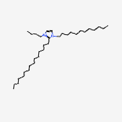 CCCCCCCCCCCCCCCc1n(CCCCCCCCCCCC)cc[n+]1CCCC